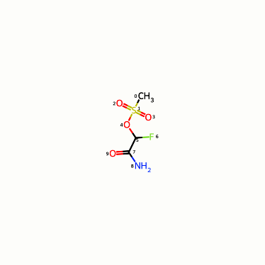 CS(=O)(=O)OC(F)C(N)=O